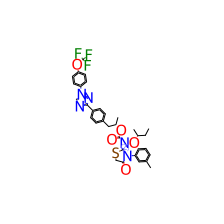 CCC(C)Oc1ccc(C)cc1N1C(=O)CS/C1=N\C(=O)OC(C)Cc1ccc(-c2ncn(-c3ccc(OC(F)(F)F)cc3)n2)cc1